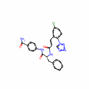 NC(=O)c1ccc(NC(=O)[C@H](Cc2ccccc2)NC(=O)C=Cc2cc(Cl)ccc2-n2cnnn2)cc1